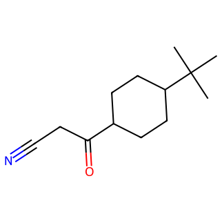 CC(C)(C)C1CCC(C(=O)CC#N)CC1